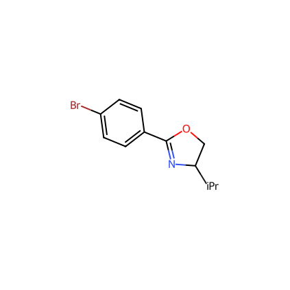 CC(C)C1COC(c2ccc(Br)cc2)=N1